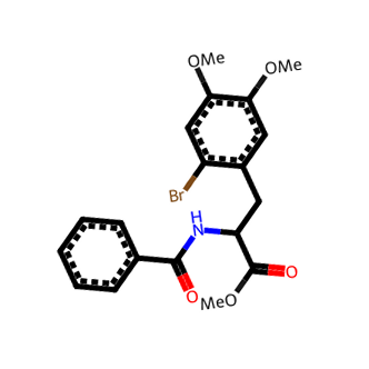 COC(=O)C(Cc1cc(OC)c(OC)cc1Br)NC(=O)c1ccccc1